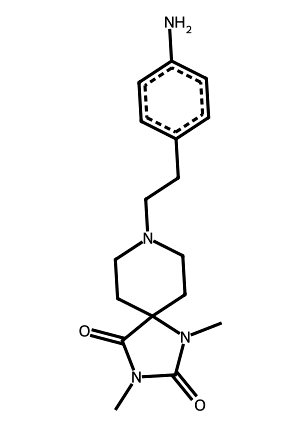 CN1C(=O)N(C)C2(CCN(CCc3ccc(N)cc3)CC2)C1=O